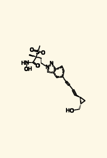 C[C@@](CCn1cc2cc(C#CC#C[C@H]3C[C@@H]3CO)ccc2n1)(C(=O)NO)S(C)(=O)=O